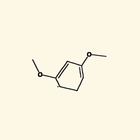 COC1=CC(OC)=CC[CH]1